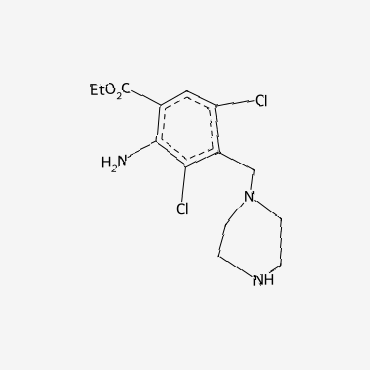 CCOC(=O)c1cc(Cl)c(CN2CCNCC2)c(Cl)c1N